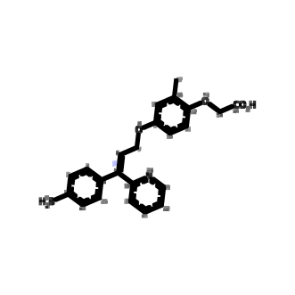 Bc1ccc(/C(=C/COc2ccc(OCC(=O)O)c(C)c2)c2ccccn2)cc1